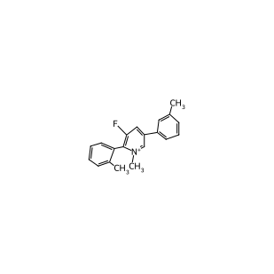 Cc1cccc(-c2cc(F)c(-c3ccccc3C)[n+](C)c2)c1